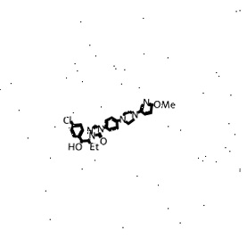 CCC(C(O)c1ccc(Cl)cc1)n1ncn(-c2ccc(N3CCN(c4ccc(OC)nc4)CC3)cc2)c1=O